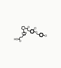 O=C(O)CCc1cnc(C2CCCN2C(=O)Cc2ccc(OCc3ccc(Cl)cc3)c(Cl)c2)s1